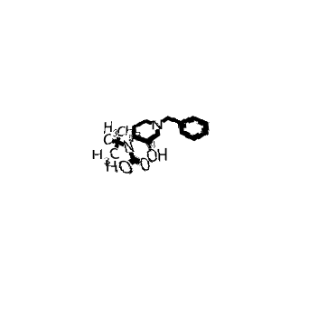 CC(C)(C)N(C(=O)O)[C@@H]1CCN(Cc2ccccc2)C[C@H]1O